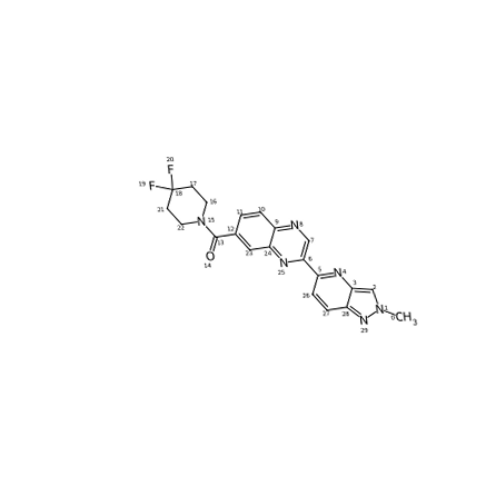 Cn1cc2nc(-c3cnc4ccc(C(=O)N5CCC(F)(F)CC5)cc4n3)ccc2n1